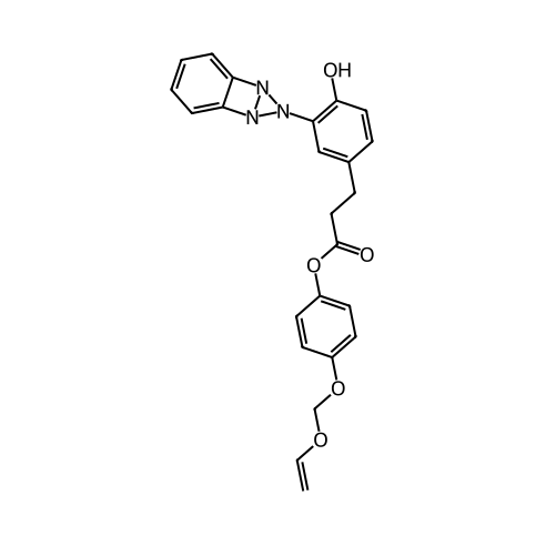 C=COCOc1ccc(OC(=O)CCc2ccc(O)c(-n3n4c5ccccc5n34)c2)cc1